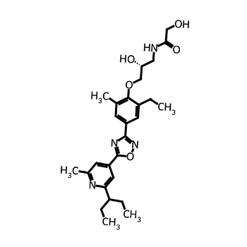 CCc1cc(-c2noc(-c3cc(C)nc(C(CC)CC)c3)n2)cc(C)c1OC[C@H](O)CNC(=O)CO